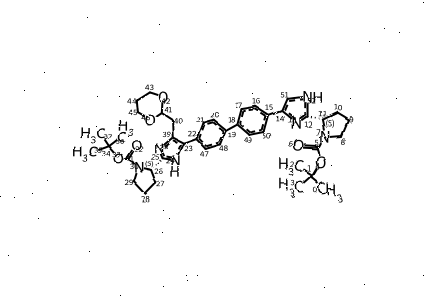 CC(C)(C)OC(=O)N1CCC[C@H]1c1nc(-c2ccc(-c3ccc(-c4[nH]c([C@@H]5CCCN5C(=O)OC(C)(C)C)nc4CC4OCCCO4)cc3)cc2)c[nH]1